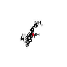 CC12C=CC(=O)C=C1CCC1C2C(O)CC2(C)C1C[C@H]1O[C@@H](c3ccc(Cc4cccc(N)c4)cc3)O[C@]12C(=O)CO